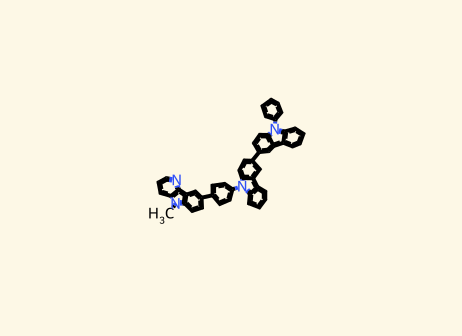 Cn1c2ccc(-c3ccc(-n4c5ccccc5c5cc(-c6ccc7c(c6)c6ccccc6n7-c6ccccc6)ccc54)cc3)cc2c2ncccc21